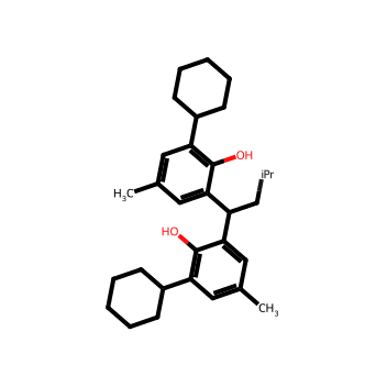 Cc1cc(C2CCCCC2)c(O)c(C(CC(C)C)c2cc(C)cc(C3CCCCC3)c2O)c1